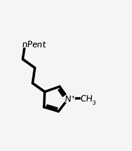 CCCCCCCCC1C=C[N+](C)=C1